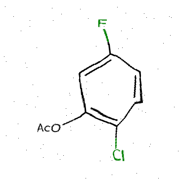 CC(=O)Oc1cc(F)ccc1Cl